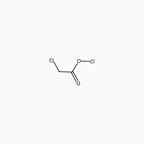 O=C(CCl)OCl